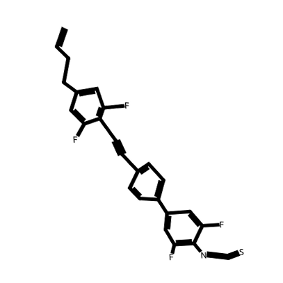 C=CCCc1cc(F)c(C#Cc2ccc(-c3cc(F)c(N=C=S)c(F)c3)cc2)c(F)c1